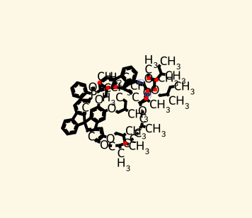 C=C1/C=C(OCC(C)CC)\C(OCC(C)CC)=C/C2(C(C)OCC(C)CC)CC(=C)C13c1ccccc1-c1ccc(cc13)P(=O)(c1ccccc1)c1ccc3c(c1)C1(c4ccccc4-3)c3cc(OCC(C)CC)c(OCC(C)CC)cc3-c3cc(OCC(C)CC)c(cc31)OCC(C)CCCC(C)CO2